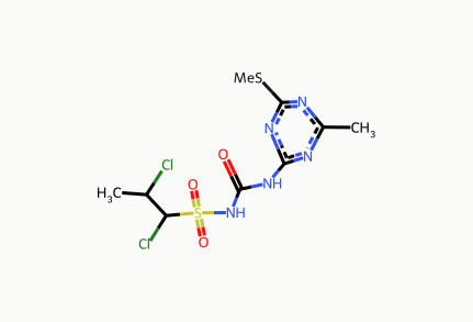 CSc1nc(C)nc(NC(=O)NS(=O)(=O)C(Cl)C(C)Cl)n1